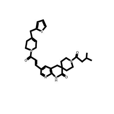 CC(C)CC(=O)N1CCC2(CC1)Cc1cc(C=CC(=O)N3CC=C(Cc4cccs4)CC3)cnc1NC2=O